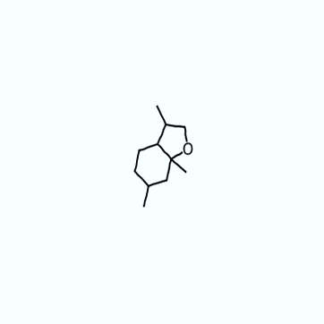 CC1CCC2C(C)COC2(C)C1